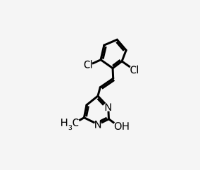 Cc1cc(C=Cc2c(Cl)cccc2Cl)nc(O)n1